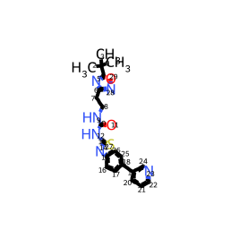 CC(C)(C)c1nc(CCNC(=O)Nc2nc3ccc(-c4cccnc4)cc3s2)no1